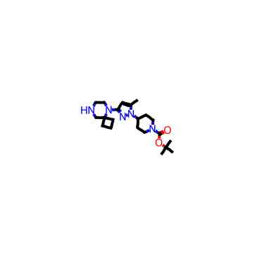 Cc1cc(N2CCNCC23CCC3)nn1C1CCN(C(=O)OC(C)(C)C)CC1